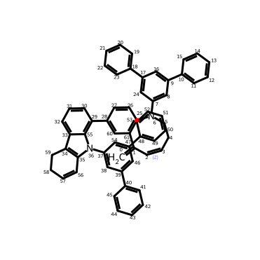 C=C1/C=C\CCN(c2cc(-c3ccccc3)cc(-c3ccccc3)c2)c2ccc(-c3cccc4c5c(n(-c6cc(-c7ccccc7)cc(-c7ccccc7)c6)c34)C=CCC5)cc21